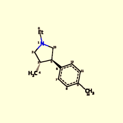 CCN1C[C@@H](C)[C@H](c2ccc(C)cc2)C1